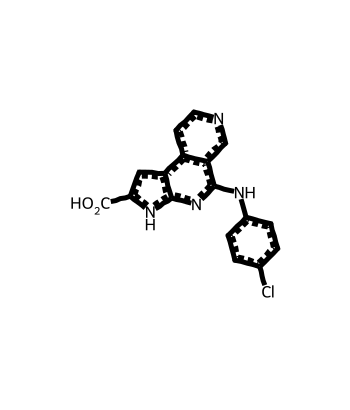 O=C(O)c1cc2c(nc(Nc3ccc(Cl)cc3)c3cnccc32)[nH]1